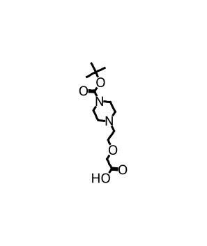 CC(C)(C)OC(=O)N1CCN(CCOCC(=O)O)CC1